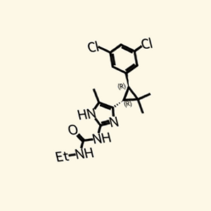 CCNC(=O)Nc1nc([C@@H]2[C@@H](c3cc(Cl)cc(Cl)c3)C2(C)C)c(C)[nH]1